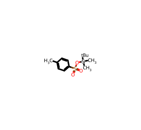 Cc1ccc(S(=O)(=O)O[Si](C)(C)C(C)(C)C)cc1